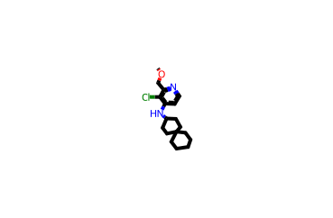 COCc1nccc(NC2CCC3(CCCCC3)CC2)c1Cl